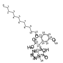 CCCCCCCCCCCCOc1ccc(OC)cc1C(SC1=NN=N[N+]1(C)C(=O)O)C(=O)O